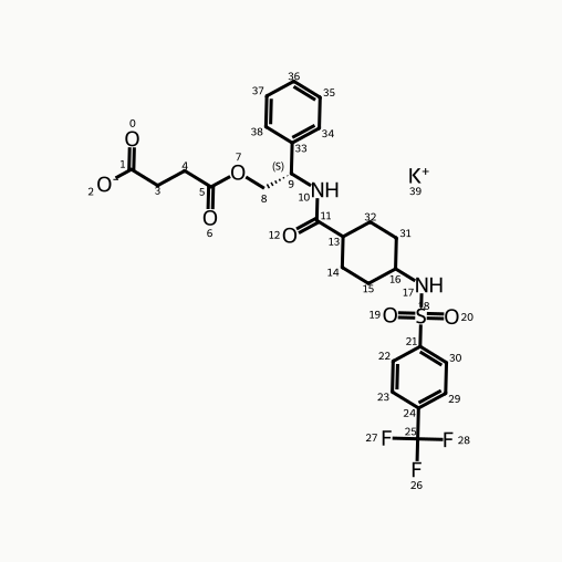 O=C([O-])CCC(=O)OC[C@@H](NC(=O)C1CCC(NS(=O)(=O)c2ccc(C(F)(F)F)cc2)CC1)c1ccccc1.[K+]